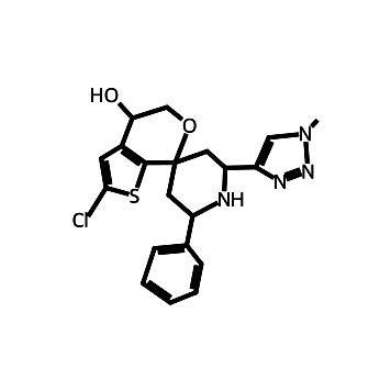 Cn1cc(C2CC3(CC(c4ccccc4)N2)OCC(O)c2cc(Cl)sc23)nn1